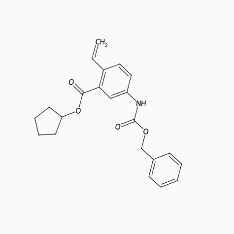 C=Cc1ccc(NC(=O)OCc2ccccc2)cc1C(=O)OC1CCCC1